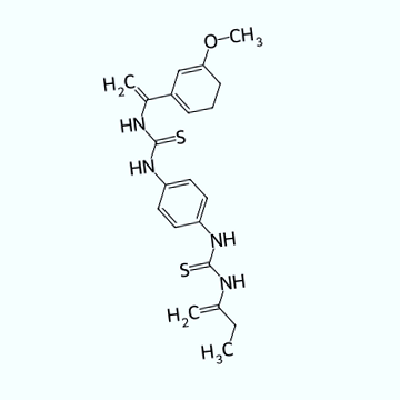 C=C(CC)NC(=S)Nc1ccc(NC(=S)NC(=C)C2=CCCC(OC)=C2)cc1